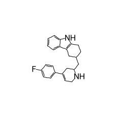 Fc1ccc(C2=CCNC(CC3CCc4[nH]c5ccccc5c4C3)C2)cc1